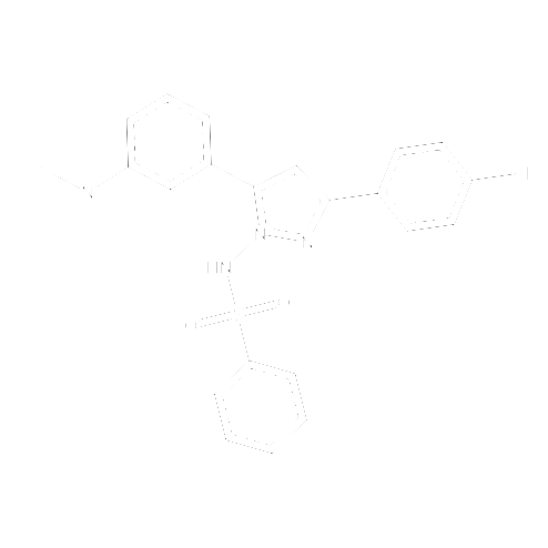 CNc1cccc(-c2cc(-c3ccc(Cl)cc3)nn2NS(=O)(=O)c2ccccc2)c1